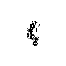 O=C(Nc1ccc(C(F)(F)F)cc1)N1CCOC2(CCN(C(=O)c3ccccn3)CC2)C1